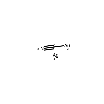 N#[C][Au].[Ag]